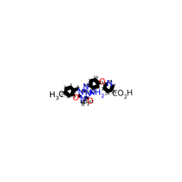 Cc1ccc(Cn2c(=O)n(C(C)C)c(=O)n(N)/c2=N\c2ccc(Oc3ccc(C(=O)O)cn3)cc2)cc1